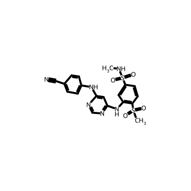 CNS(=O)(=O)c1ccc(S(C)(=O)=O)c(Nc2cc(Nc3ccc(C#N)cc3)ncn2)c1